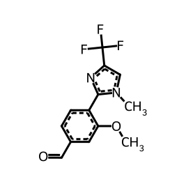 COc1cc(C=O)ccc1-c1nc(C(F)(F)F)cn1C